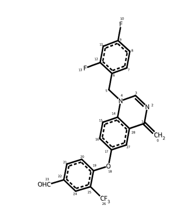 C=C1N=CN(Cc2ccc(F)cc2F)c2ccc(Oc3ccc(C=O)cc3C(F)(F)F)cc21